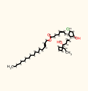 CCCCCCCCCCCCCCC#CCOC(=O)CCC/C=C\C[C@@H]1[C@@H](/C=C/C[C@H](O)C2(CC)CCC2)[C@H](O)C[C@H]1Cl